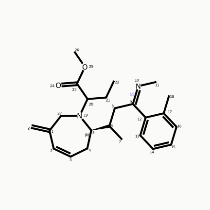 C=C1C=CC[C@H](C(C)C/C(=N/C)c2ccccc2C)N(C(CC)C(=O)OC)C1